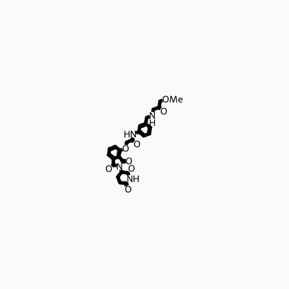 COCC(=O)CNCc1cccc(NC(=O)COc2cccc3c2C(=O)N(C2CCC(=O)NC2=O)C3=O)c1